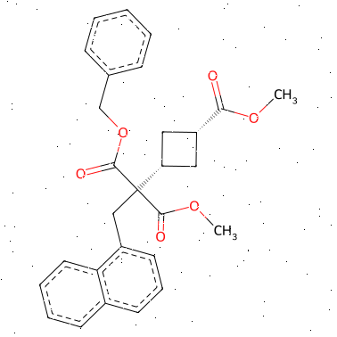 COC(=O)C(Cc1cccc2ccccc12)(C(=O)OCc1ccccc1)[C@H]1C[C@@H](C(=O)OC)C1